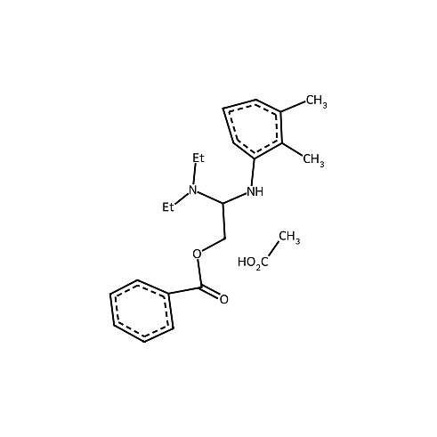 CC(=O)O.CCN(CC)C(COC(=O)c1ccccc1)Nc1cccc(C)c1C